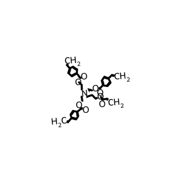 C=CC(=O)OCCC[N+](CCOC(=O)c1ccc(C=C)cc1)(CCOC(=O)c1ccc(C=C)cc1)CCOC(=O)c1ccc(C=C)cc1